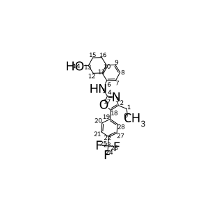 CCc1nc(Nc2cccc3c2CC(O)CC3)oc1-c1ccc(C(F)(F)F)cc1